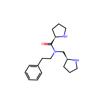 O=C([C@H]1CCCN1)N(CCc1ccccc1)C[C@@H]1CCCN1